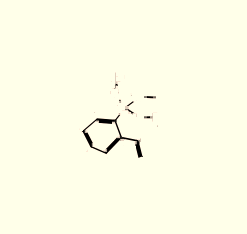 C=Cc1ccccc1[Si](OCC)(OCC)OCC